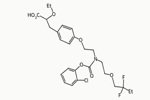 CCOC(Cc1ccc(OCCN(CCOCC(F)(F)CC)C(=O)Oc2ccccc2Cl)cc1)C(=O)O